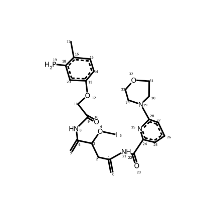 C=C(CC(OI)C(=C)NC(=O)COc1ccc(C)c(P)c1)NC(=O)c1cccc(N2CCOCC2)n1